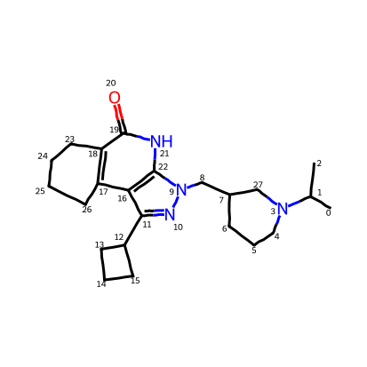 CC(C)N1CCCC(Cn2nc(C3CCC3)c3c4c(c(=O)[nH]c32)CCCC4)C1